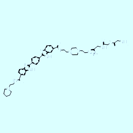 NCC(=O)NCC(=O)NCc1cn(CCN2CCN(CCNC(=O)c3ccc4nc(-c5ccc(-c6nc7ccc(C(=O)NCCN8CCCCC8)cc7[nH]6)cc5)[nH]c4c3)CC2)nn1